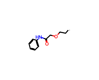 [CH2]CCOCC(=O)Nc1ccccc1